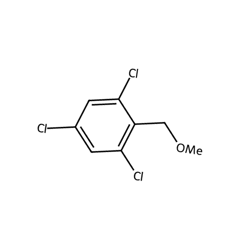 COCc1c(Cl)cc(Cl)cc1Cl